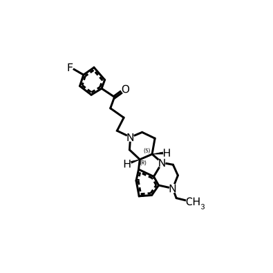 CCN1CCN2c3c(cccc31)[C@@H]1CN(CCCC(=O)c3ccc(F)cc3)CC[C@@H]12